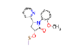 COc1ccccc1N1C(=O)C(OSI)CC1c1ccccn1